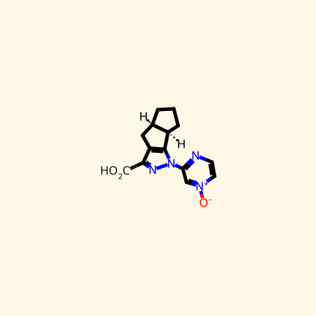 O=C(O)c1nn(-c2c[n+]([O-])ccn2)c2c1C[C@H]1CCC[C@@H]21